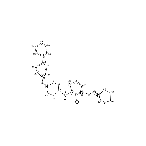 O=c1c(NC2CCN(Cc3ccc(-c4ccccc4)cc3)CC2)nccn1CCN1CCCCC1